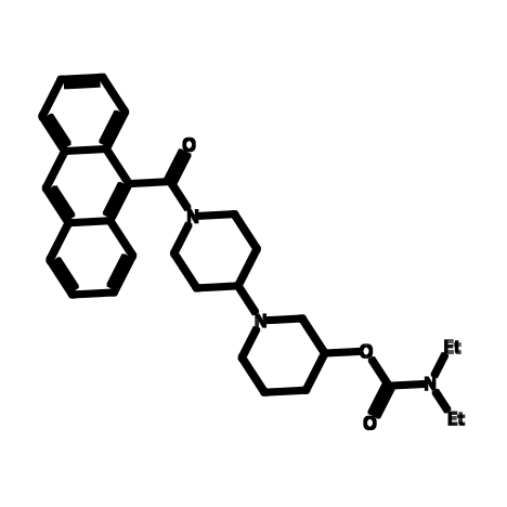 CCN(CC)C(=O)OC1CCCN(C2CCN(C(=O)c3c4ccccc4cc4ccccc34)CC2)C1